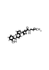 COCCNC(=O)c1cc(-n2ncc3nc(Nc4ccccc4Cl)ccc32)cs1